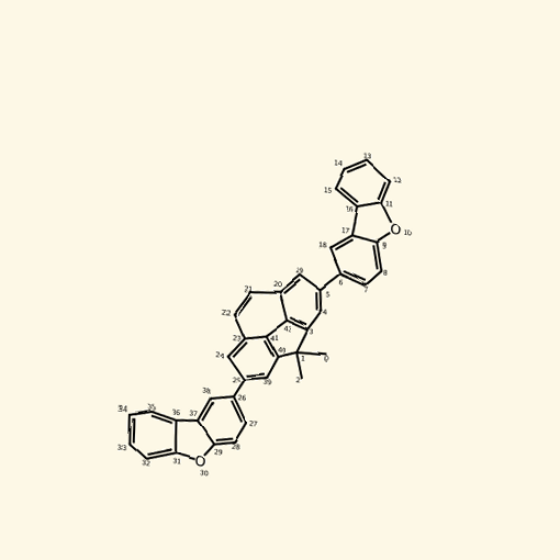 CC1(C)c2cc(-c3ccc4oc5ccccc5c4c3)cc3ccc4cc(-c5ccc6oc7ccccc7c6c5)cc1c4c23